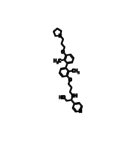 Cc1c(OCCCNC(CO)c2ccncc2)cccc1-c1cccc(OCCCN2CCCC2)c1C